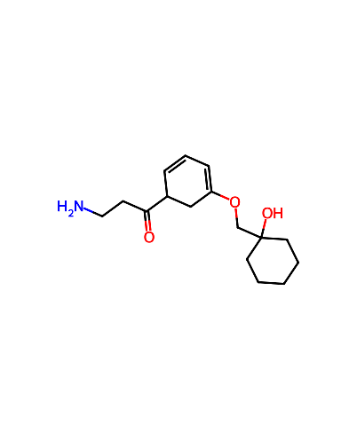 NCCC(=O)C1C=CC=C(OCC2(O)CCCCC2)C1